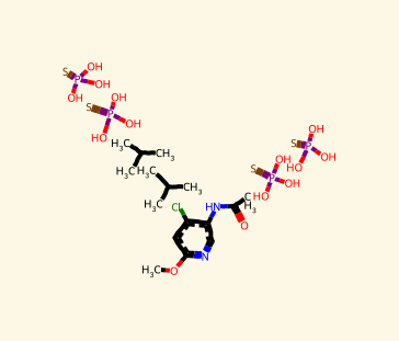 CC(C)C.CC(C)C.COc1cc(Cl)c(NC(C)=O)cn1.OP(O)(O)=S.OP(O)(O)=S.OP(O)(O)=S.OP(O)(O)=S